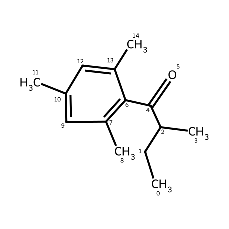 CCC(C)C(=O)c1c(C)cc(C)cc1C